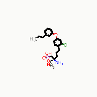 CCCc1cccc(Oc2ccc(CCC[C@@](C)(N)CP(=O)(O)O)c(Cl)c2)c1